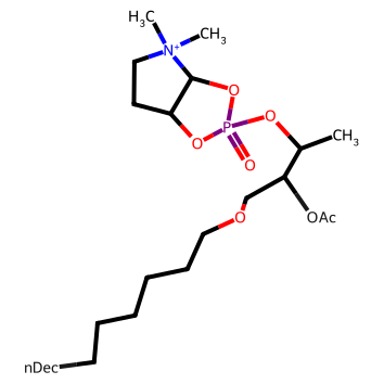 CCCCCCCCCCCCCCCCOCC(OC(C)=O)C(C)OP1(=O)OC2CC[N+](C)(C)C2O1